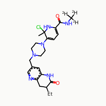 [2H]C([2H])([2H])NC(=O)C1=CC=C(N2CCN(Cc3cnc4c(c3)NC(=O)C(CC)C4)CC2)C(C)(Cl)N1